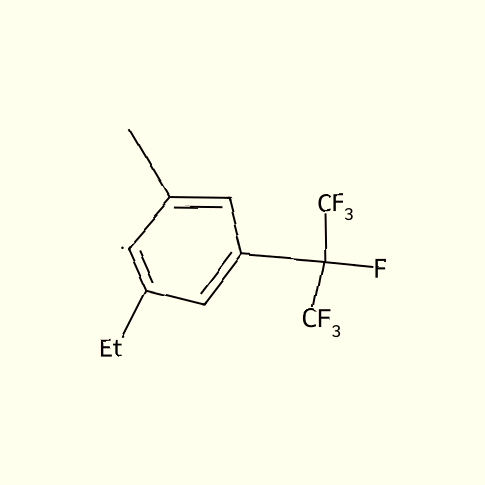 CCc1[c]c(C)cc(C(F)(C(F)(F)F)C(F)(F)F)c1